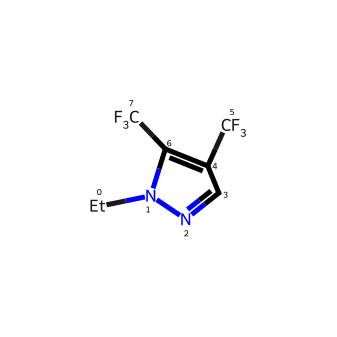 CCn1ncc(C(F)(F)F)c1C(F)(F)F